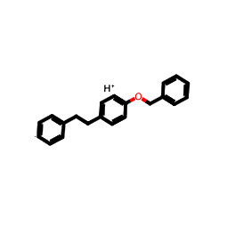 [H+].[c]1ccc(CCc2ccc(OCc3ccccc3)cc2)cc1